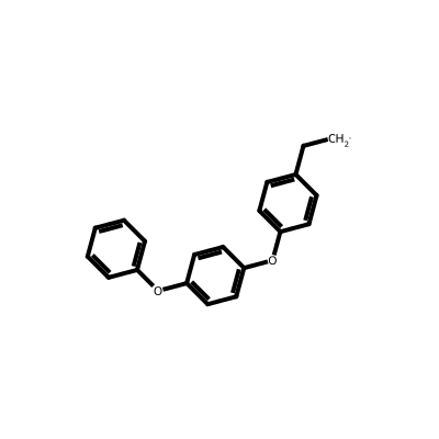 [CH2]Cc1ccc(Oc2ccc(Oc3ccccc3)cc2)cc1